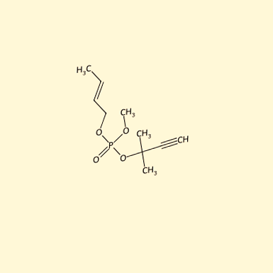 C#CC(C)(C)OP(=O)(OC)OCC=CC